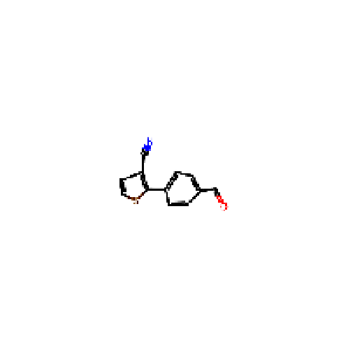 N#Cc1ccsc1-c1ccc(C=O)cc1